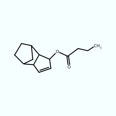 CCCC(=O)OC1C=CC2C3CCC(C3)C12